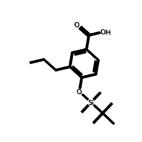 CCCc1cc(C(=O)O)ccc1O[Si](C)(C)C(C)(C)C